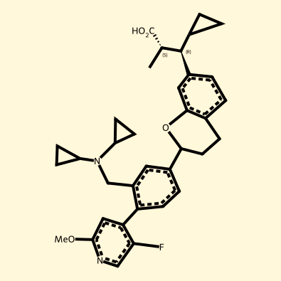 COc1cc(-c2ccc(C3CCc4ccc([C@H](C5CC5)[C@H](C)C(=O)O)cc4O3)cc2CN(C2CC2)C2CC2)c(F)cn1